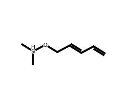 C=C/C=C/CO[SiH](C)C